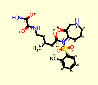 C[C@@H](CCNC(=O)C(N)=O)CC(=O)N(C1CCCNCC1=O)S(=O)(=O)c1ccccc1C#N